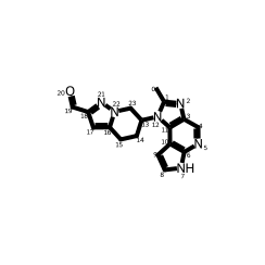 Cc1nc2cnc3[nH]ccc3c2n1C1CCc2cc(C=O)nn2C1